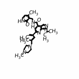 C/C=C(\C=C(/C)CN1CCN(C)CC1)c1cc(C(=O)NCc2c(C)cc[nH]c2=O)c2cnn(C(C)C)c2n1